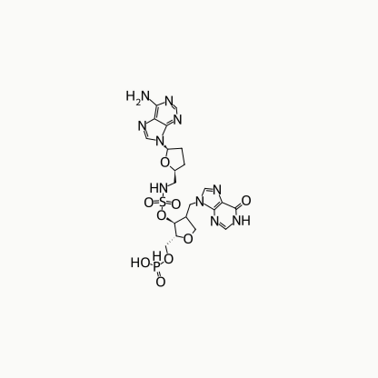 Nc1ncnc2c1ncn2[C@H]1CC[C@@H](CNS(=O)(=O)O[C@H]2C(Cn3cnc4c(=O)[nH]cnc43)CO[C@@H]2CO[PH](=O)O)O1